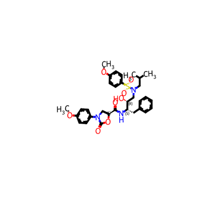 COc1ccc(N2C[C@@H](C(=O)N[C@@H](Cc3ccccc3)[C@H](O)CN(CC(C)C)S(=O)(=O)c3ccc(OC)cc3)OC2=O)cc1